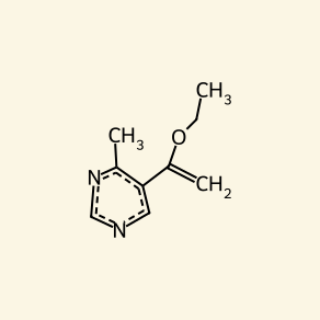 C=C(OCC)c1cncnc1C